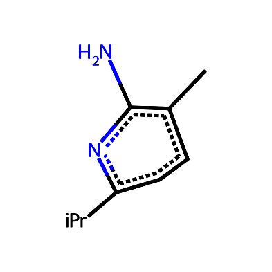 Cc1ccc(C(C)C)nc1N